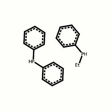 CCPc1ccccc1.c1ccc(Pc2ccccc2)cc1